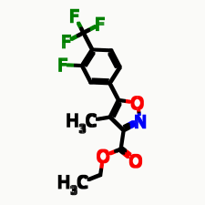 CCOC(=O)c1noc(-c2ccc(C(F)(F)F)c(F)c2)c1C